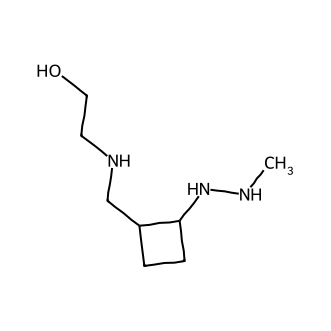 CNNC1CCC1CNCCO